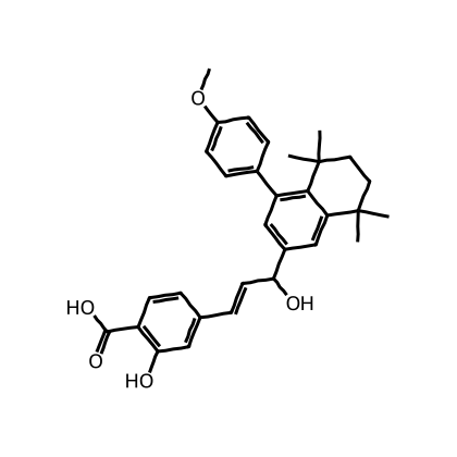 COc1ccc(-c2cc(C(O)C=Cc3ccc(C(=O)O)c(O)c3)cc3c2C(C)(C)CCC3(C)C)cc1